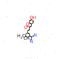 CC1(C)CC(/C=C/c2cc3ccc(O)cc3oc2=O)=CC(=C(C#N)C#N)C1